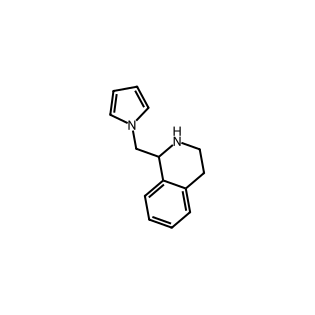 c1ccc2c(c1)CCNC2Cn1cccc1